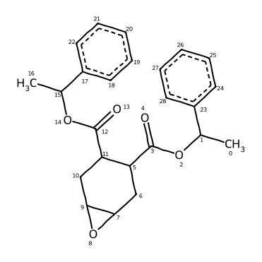 CC(OC(=O)C1CC2OC2CC1C(=O)OC(C)c1ccccc1)c1ccccc1